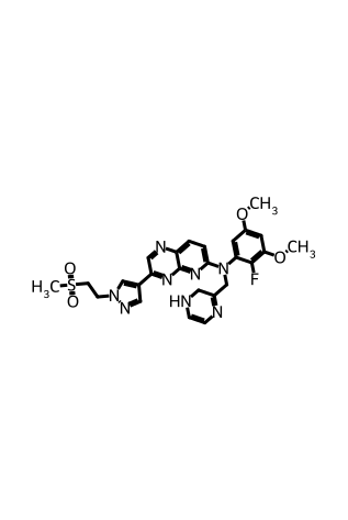 COc1cc(OC)c(F)c(N(CC2=NC=CNC2)c2ccc3ncc(-c4cnn(CCS(C)(=O)=O)c4)nc3n2)c1